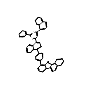 CC1(C)c2c(-c3ccc(-c4ccc(-c5cc(-c6cccc7ccccc67)nc(-c6ccccc6)n5)c5ccccc45)cc3)cccc2-c2ccc3ccccc3c21